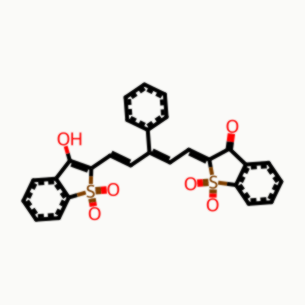 O=C1/C(=C/C=C(/C=C/C2=C(O)c3ccccc3S2(=O)=O)c2ccccc2)S(=O)(=O)c2ccccc21